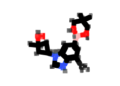 CC1(C)COB(c2cc(C(F)(F)F)c3ncn(C4CC(C)(O)C4)c3c2)OC1